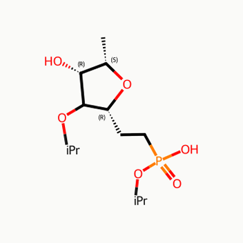 CC(C)OC1[C@@H](CCP(=O)(O)OC(C)C)O[C@@H](C)[C@H]1O